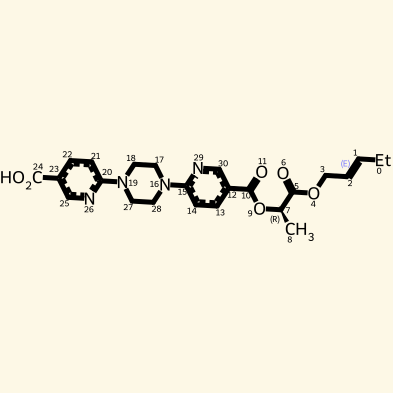 CC/C=C/COC(=O)[C@@H](C)OC(=O)c1ccc(N2CCN(c3ccc(C(=O)O)cn3)CC2)nc1